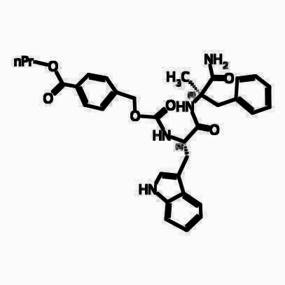 CCCOC(=O)c1ccc(COC(=O)N[C@@H](Cc2c[nH]c3ccccc23)C(=O)N[C@](C)(Cc2ccccc2)C(N)=O)cc1